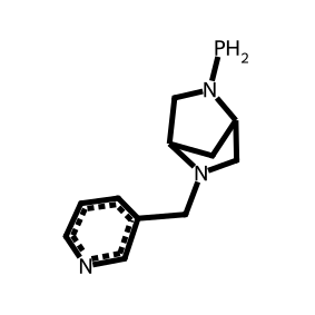 PN1CC2CC1CN2Cc1cccnc1